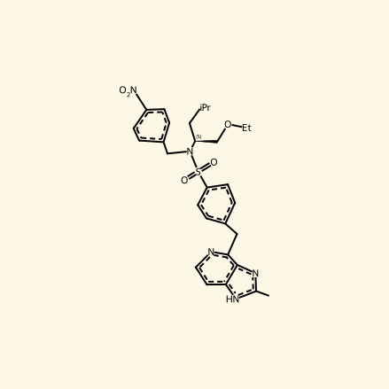 CCOC[C@H](CC(C)C)N(Cc1ccc([N+](=O)[O-])cc1)S(=O)(=O)c1ccc(Cc2nccc3[nH]c(C)nc23)cc1